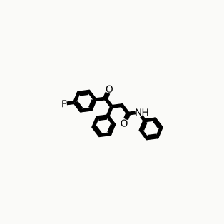 O=C(CC(C(=O)c1ccc(F)cc1)c1ccccc1)Nc1ccccc1